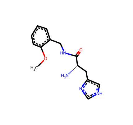 COc1ccccc1CNC(=O)[C@@H](N)Cc1c[nH]cn1